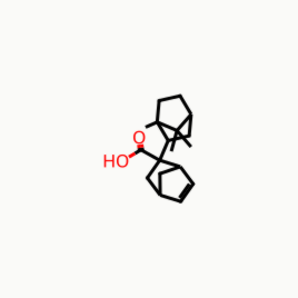 CC1(C)C2CCC1(C)C(C1(C(=O)O)CC3C=CC1C3)C2